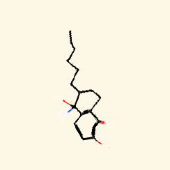 Br.CCCCCCC1CCc2c(ccc(O)c2O)C1(N)O